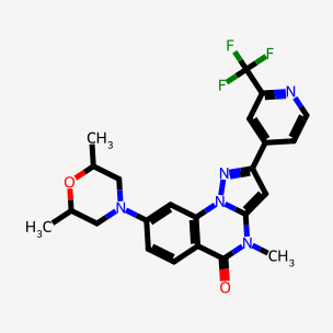 CC1CN(c2ccc3c(=O)n(C)c4cc(-c5ccnc(C(F)(F)F)c5)nn4c3c2)CC(C)O1